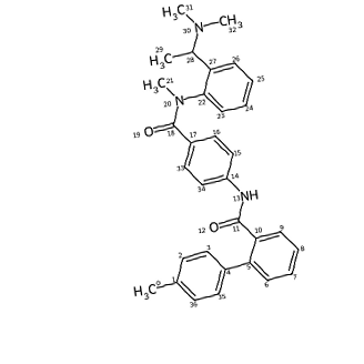 Cc1ccc(-c2ccccc2C(=O)Nc2ccc(C(=O)N(C)c3ccccc3C(C)N(C)C)cc2)cc1